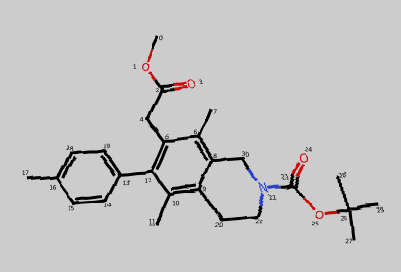 COC(=O)Cc1c(C)c2c(c(C)c1-c1ccc(C)cc1)CCN(C(=O)OC(C)(C)C)C2